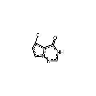 O=c1[nH]cnn2ccc(Cl)c12